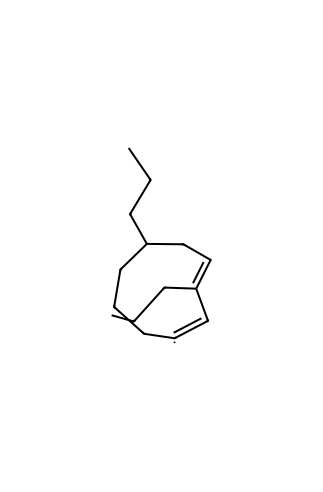 CCCC1=C\CC(CCC)CCC/[C]=C\1